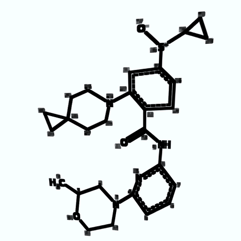 CC1CN(c2cccc(NC(=O)c3ccc([S+]([O-])C4CC4)cc3N3CCC4(CC3)CC4)n2)CCO1